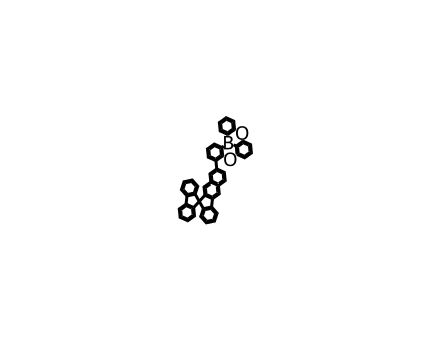 c1ccc2c(c1)Oc1cccc3c1B2c1cccc(-c2ccc4cc5c(cc4c2)C2(c4ccccc4-c4ccccc42)c2ccccc2-5)c1O3